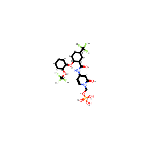 O=C(Nc1ccn(COP(=O)(O)O)c(=O)c1)C1CC(C(F)(F)F)CCC1OC1CCCCC1OC(F)(F)F